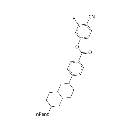 CCCCCC1CCC2CC(c3ccc(C(=O)Oc4ccc(C#N)c(F)c4)cc3)CCC2C1